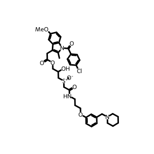 COc1ccc2c(c1)c(CC(=O)OCC(O)C[S+]([O-])CC(=O)NCCCOc1cccc(CN3CCCCC3)c1)c(C)n2C(=O)c1ccc(Cl)cc1